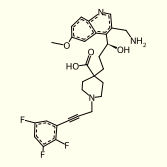 COc1ccc2ncc(CN)c([C@@H](O)CCC3(C(=O)O)CCN(CC#Cc4cc(F)cc(F)c4F)CC3)c2c1